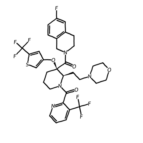 O=C(c1ncccc1C(F)(F)F)N1CCC[C@](Oc2csc(C(F)(F)F)c2)(C(=O)N2CCc3cc(F)ccc3C2)[C@H]1CCN1CCOCC1